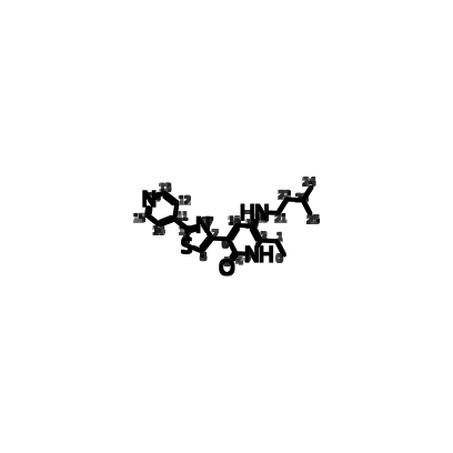 CCc1[nH]c(=O)c(-c2csc(-c3ccncc3)n2)cc1NCCC(C)C